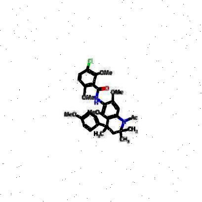 COc1ccc(C2(C)CC(C)(C)N(C(C)=O)c3cc(OC)c(NC(=O)c4c(OC)ccc(Cl)c4OC)c(OC)c32)cc1